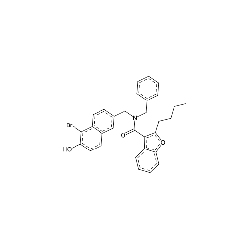 CCCCc1oc2ccccc2c1C(=O)N(Cc1ccccc1)Cc1ccc2c(Br)c(O)ccc2c1